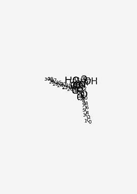 CCCCCCCCCCCC(=O)Oc1cc(OC(=O)CCCCCCCCCCC)cc(N(CC(=O)O)CC(=O)O)c1